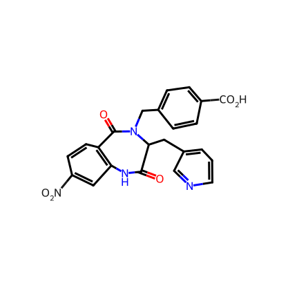 O=C(O)c1ccc(CN2C(=O)c3ccc([N+](=O)[O-])cc3NC(=O)C2Cc2cccnc2)cc1